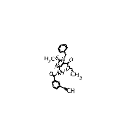 C#Cc1cccc(C(=O)Nc2nc(SC)n(Cc3ccccc3)c2C(=O)OCC)c1